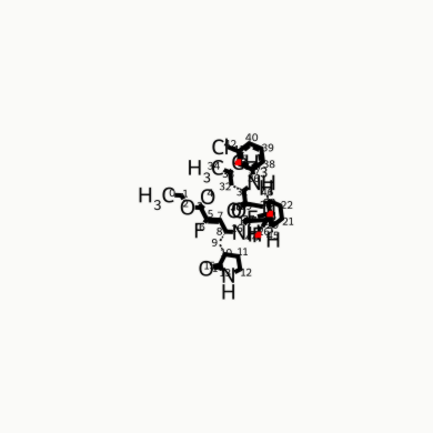 CCOC(=O)/C(F)=C/[C@@H](C[C@@H]1CCNC1=O)NC(=O)[C@@H]1[C@@H]2CC[C@@H](CC2(F)F)N1C(=O)[C@H](CC(C)C)Nc1cccc(Cl)c1